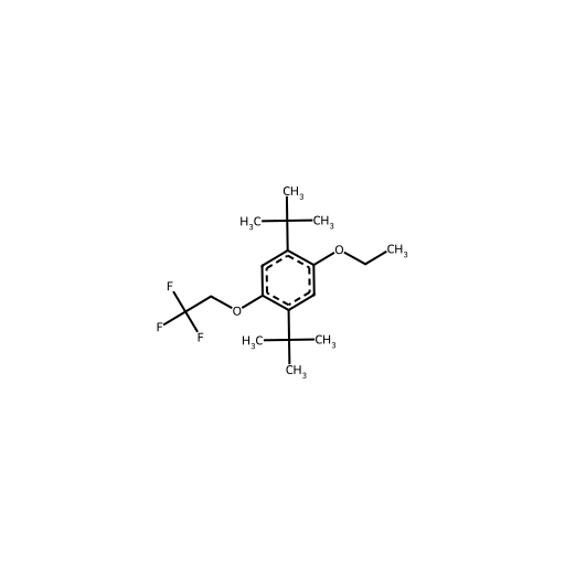 CCOc1cc(C(C)(C)C)c(OCC(F)(F)F)cc1C(C)(C)C